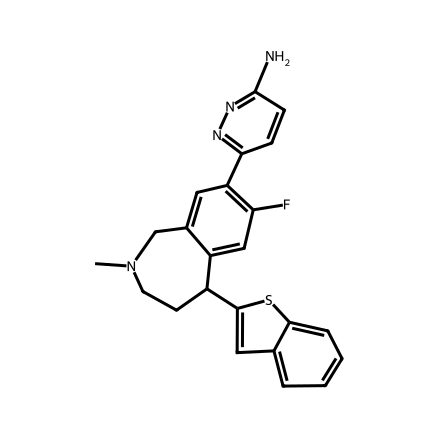 CN1CCC(c2cc3ccccc3s2)c2cc(F)c(-c3ccc(N)nn3)cc2C1